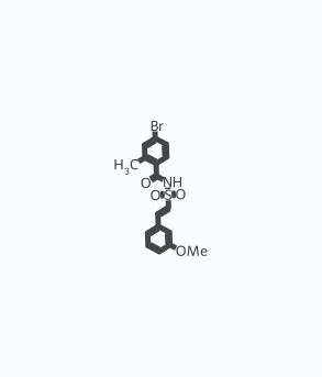 COc1cccc(C=CS(=O)(=O)NC(=O)c2ccc(Br)cc2C)c1